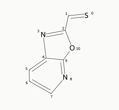 S=Cc1nc2cccnc2o1